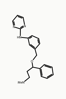 CNCCC(OCc1cccc(Nc2ncccn2)c1)c1ccccc1